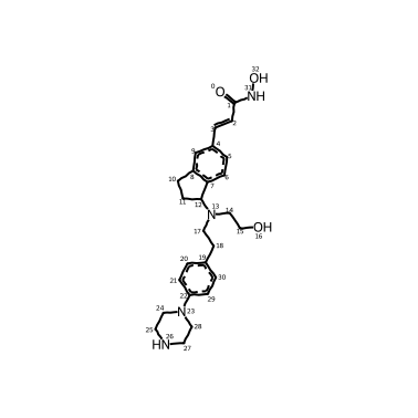 O=C(/C=C/c1ccc2c(c1)CCC2N(CCO)CCc1ccc(N2CCNCC2)cc1)NO